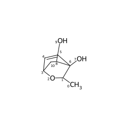 CC1OC2C=CC1(O)C(O)C2